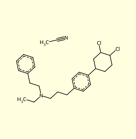 CC#N.CCN(CCCc1ccc(C2CCC(Cl)C(Cl)C2)cc1)CCc1ccccc1